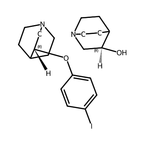 Ic1ccc(O[C@H]2CN3CCC2CC3)cc1.O[C@H]1CN2CCC1CC2